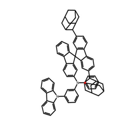 c1ccc(N(c2cccc(-n3c4ccccc4c4ccccc43)c2)c2ccc3c(c2)C2(c4ccccc4-3)c3cc(C4C5CC6CC(C5)CC4C6)ccc3-c3ccc(C4C5CC6CC(C5)CC4C6)cc32)cc1